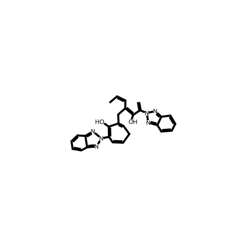 C=C(/C(O)=C(\C=C/C)CC1=CCC=CC(n2nc3ccccc3n2)=C1O)n1nc2ccccc2n1